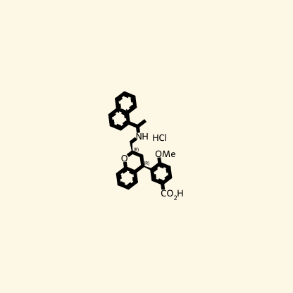 COc1ccc(C(=O)O)cc1[C@@H]1C[C@H](CNC(C)c2cccc3ccccc23)Oc2ccccc21.Cl